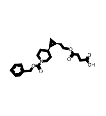 O=C(O)CCC(=O)OCC[C@@H]1C[C@@H]1C1CCN(C(=O)OCc2ccccc2)CC1